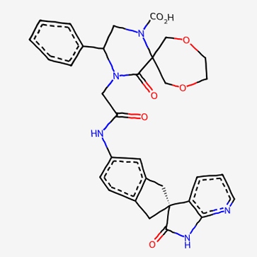 O=C(CN1C(=O)C2(COCCOC2)N(C(=O)O)CC1c1ccccc1)Nc1ccc2c(c1)C[C@@]1(C2)C(=O)Nc2ncccc21